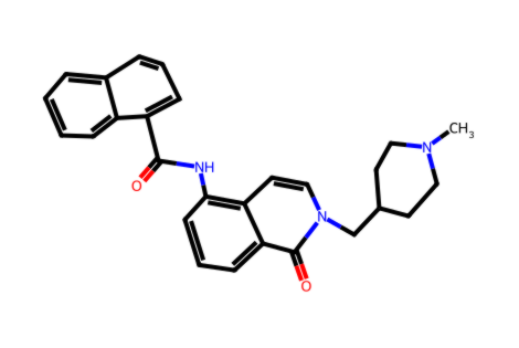 CN1CCC(Cn2ccc3c(NC(=O)c4cccc5ccccc45)cccc3c2=O)CC1